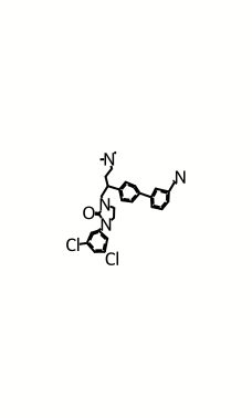 CN(C)CCC(CN1CCN(c2cc(Cl)cc(Cl)c2)C1=O)c1ccc(-c2cccc(C#N)c2)cc1